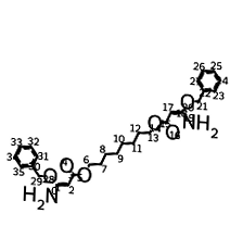 NC(=CC(=O)OCCCCCCCCOC(=O)C=C(N)OCc1ccccc1)OCc1ccccc1